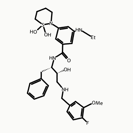 CCNc1cc(C(=O)N[C@@H](Cc2ccccc2)[C@H](O)CNCc2ccc(F)c(OC)c2)cc(N2CCCCS2(O)O)c1